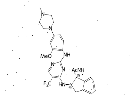 COc1cc(N2CCN(C)CC2)ccc1Nc1ncc(C(F)(F)F)c(N[C@@H]2Cc3ccccc3[C@H]2NC(C)=O)n1